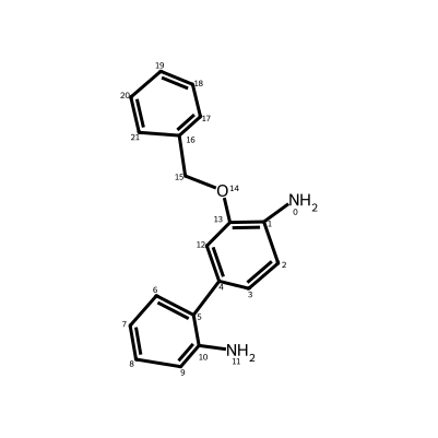 Nc1ccc(-c2ccccc2N)cc1OCc1ccccc1